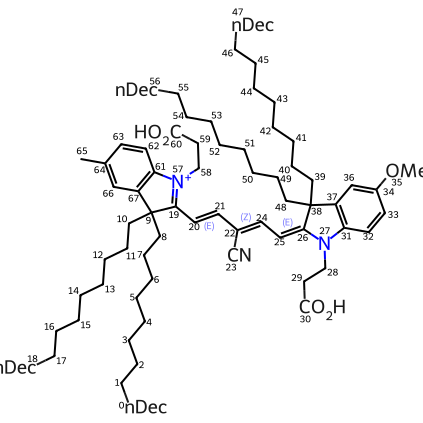 CCCCCCCCCCCCCCCCCCC1(CCCCCCCCCCCCCCCCCC)C(/C=C/C(C#N)=C/C=C2/N(CCC(=O)O)c3ccc(OC)cc3C2(CCCCCCCCCCCCCCCCCC)CCCCCCCCCCCCCCCCCC)=[N+](CCC(=O)O)c2ccc(C)cc21